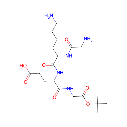 CC(C)(C)OC(=O)CNC(=O)C(CCC(=O)O)NC(=O)C(CCCCN)NC(=O)CN